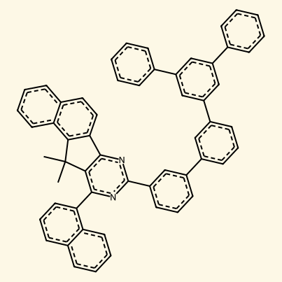 CC1(C)c2c(nc(-c3cccc(-c4cccc(-c5cc(-c6ccccc6)cc(-c6ccccc6)c5)c4)c3)nc2-c2cccc3ccccc23)-c2ccc3ccccc3c21